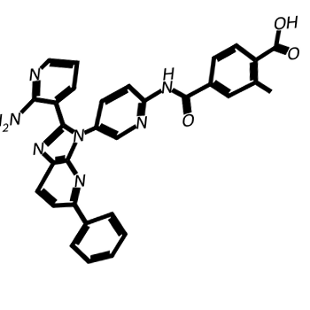 Cc1cc(C(=O)Nc2ccc(-n3c(-c4cccnc4N)nc4ccc(-c5ccccc5)nc43)cn2)ccc1C(=O)O